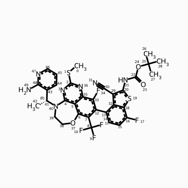 CSc1nc2c3c(c(C(F)(F)F)c(-c4ccc(F)c5sc(NC(=O)OC(C)(C)C)c(C#N)c45)c(F)c3n1)OCCN2[C@H](C)c1cccnc1N